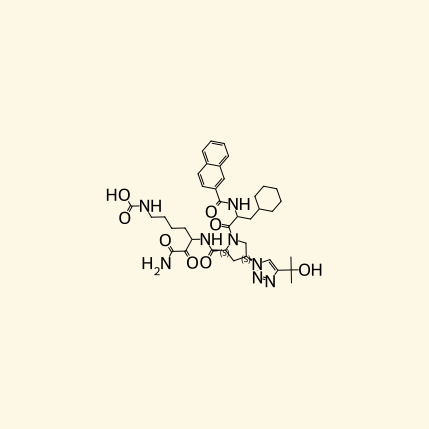 CC(C)(O)c1cn([C@H]2C[C@@H](C(=O)NC(CCCCNC(=O)O)C(=O)C(N)=O)N(C(=O)C(CC3CCCCC3)NC(=O)c3ccc4ccccc4c3)C2)nn1